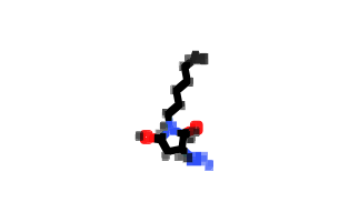 CC(=O)CCCCCN1C(=O)CC(N)C1=O